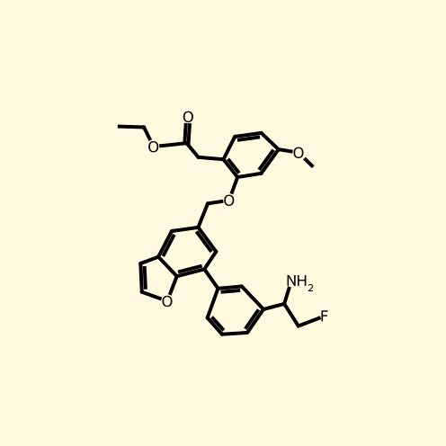 CCOC(=O)Cc1ccc(OC)cc1OCc1cc(-c2cccc(C(N)CF)c2)c2occc2c1